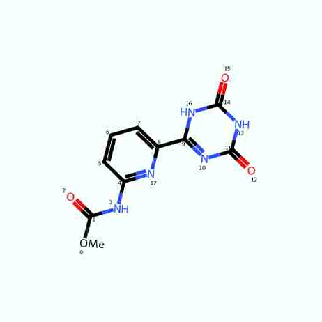 COC(=O)Nc1cccc(-c2nc(=O)[nH]c(=O)[nH]2)n1